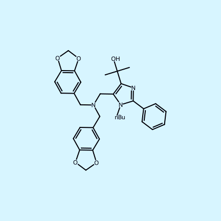 CCCCn1c(-c2ccccc2)nc(C(C)(C)O)c1CN(Cc1ccc2c(c1)OCO2)Cc1ccc2c(c1)OCO2